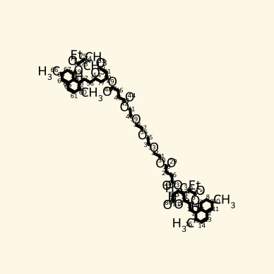 CCC(C)(C)C(=O)OC1CC(C)C=C2C=CC(C)C(CCC3CC(OC(=O)CCC(=O)OCCOCCOCCOCCOC(=O)CCC(=O)OC4CC(=O)OC(CCC5C(C)C=CC6=CC(C)CC(OC(=O)C(C)(C)CC)[C@H]65)C4)CC(=O)O3)[C@H]21